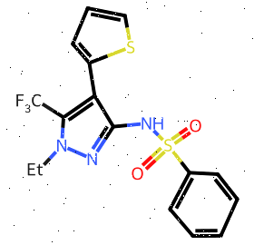 CCn1nc(NS(=O)(=O)c2ccccc2)c(-c2cccs2)c1C(F)(F)F